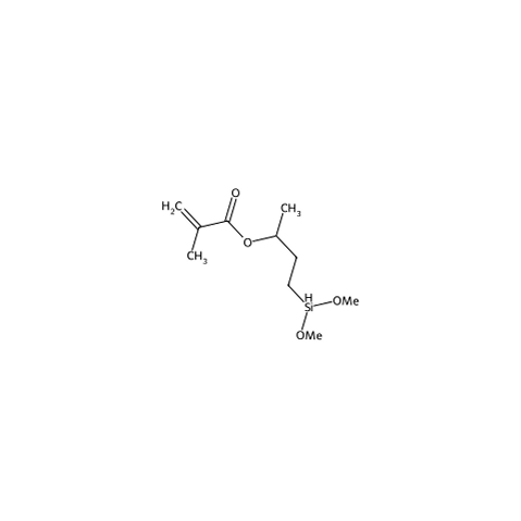 C=C(C)C(=O)OC(C)CC[SiH](OC)OC